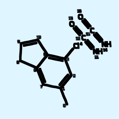 Cc1cc(Cl)c2c(c1)CC=C2.N=C=O.N=C=O